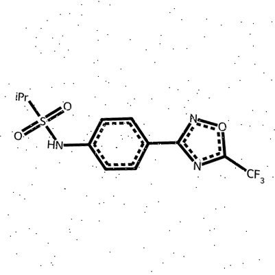 CC(C)S(=O)(=O)Nc1ccc(-c2noc(C(F)(F)F)n2)cc1